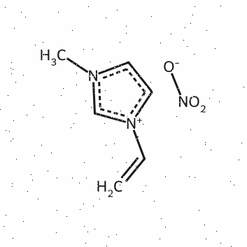 C=C[n+]1ccn(C)c1.O=[N+]([O-])[O-]